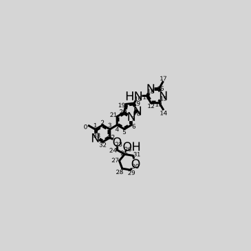 Cc1cc(-c2ccn3nc(Nc4cc(C)nc(C)n4)cc3c2)c(OC[C@]2(O)CCCOC2)cn1